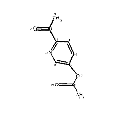 CC(=O)c1ccc(OC(N)=O)cn1